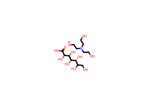 O=C(O)[C@H](O)[C@@H](O)[C@H](O)[C@H](O)C(O)CO.OCCN(CCO)CCO